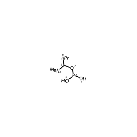 CCCC(NC)OP(O)O